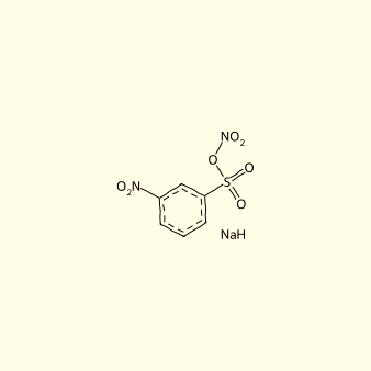 O=[N+]([O-])OS(=O)(=O)c1cccc([N+](=O)[O-])c1.[NaH]